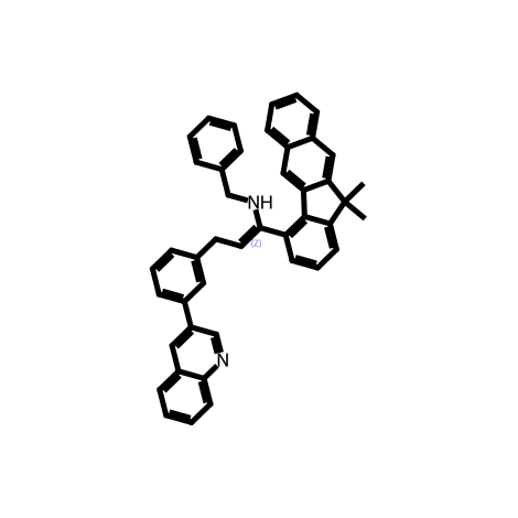 CC1(C)c2cc3ccccc3cc2-c2c(/C(=C/Cc3cccc(-c4cnc5ccccc5c4)c3)NCc3ccccc3)cccc21